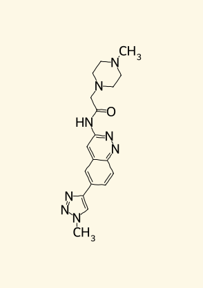 CN1CCN(CC(=O)Nc2cc3cc(-c4cn(C)nn4)ccc3nn2)CC1